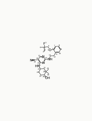 CC(F)(F)COc1ccccc1CCNc1ncc(C#N)c(N[C@@H]2CC[C@H](O)C(C)(C)C2)n1